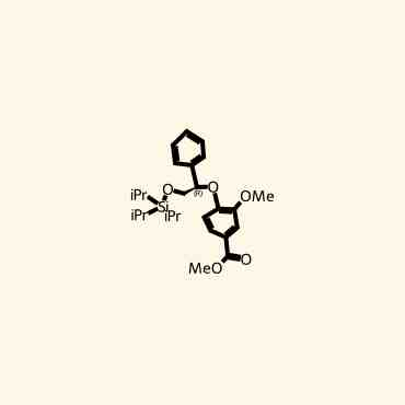 COC(=O)c1ccc(O[C@@H](CO[Si](C(C)C)(C(C)C)C(C)C)c2ccccc2)c(OC)c1